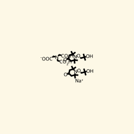 CC(C)(O)CON1C(C)(C)CC(=O)CC1(C)C.CC(C)(O)CON1C(C)(C)CC(=O)CC1(C)C.O=C([O-])CN(CC(=O)O)CC(=O)O.[Na+]